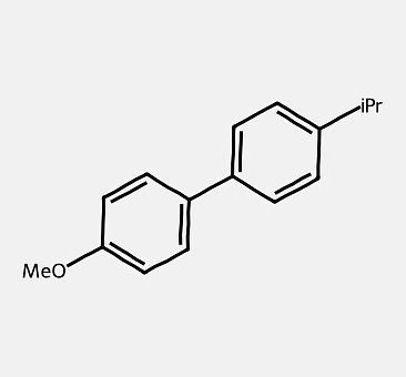 COc1ccc(-c2ccc(C(C)C)cc2)cc1